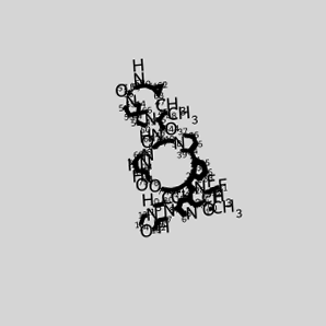 CO[C@@H](C)c1ncc(N2CCN3CCOC[C@@H]3C2)cc1-c1c2c3cc(ccc3n1CC(F)(F)F)C1=CCCN(C1)C[C@H](NC(=O)C(C(C)C)N1CC[C@]3(CCN(C(=O)[C@@H]4NC4C4CC4)C3)C1)C(=O)N1CCC[C@H](N1)C(=O)OCC(C)(C)C2